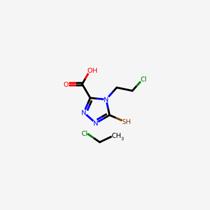 CCCl.O=C(O)c1nnc(S)n1CCCl